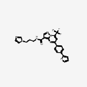 O=C(NCCCn1ccnc1)c1cnn2c(C(F)(F)F)cc(-c3ccc(-c4ccco4)cc3)nc12